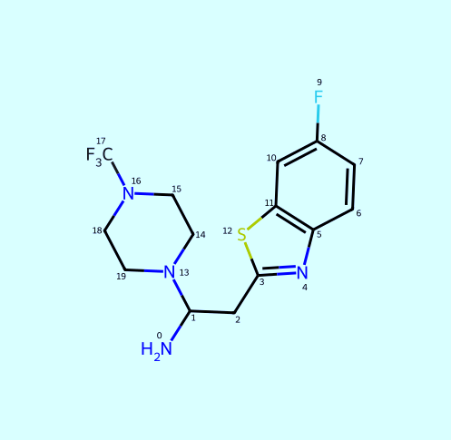 NC(Cc1nc2ccc(F)cc2s1)N1CCN(C(F)(F)F)CC1